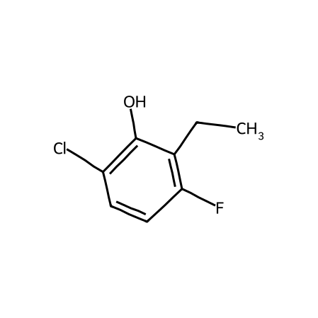 CCc1c(F)ccc(Cl)c1O